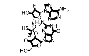 Nc1nc2c(ncn2[C@@H]2O[C@H](CO)C(=O)C2OP(=O)(S)OC[C@H]2O[C@@H](n3cnc4c(N)ncnc43)C(F)C2O)c(=O)[nH]1